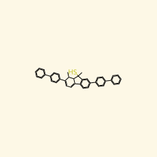 CC1C(c2ccc(-c3ccccc3)cc2)=CC=C2c3ccc(-c4ccc(-c5ccccc5)cc4)cc3C(C)(S)C21